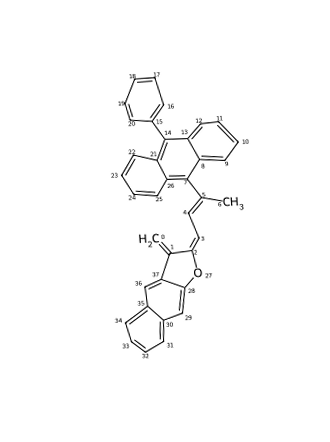 C=c1/c(=C\C=C(/C)c2c3ccccc3c(-c3ccccc3)c3ccccc23)oc2cc3ccccc3cc12